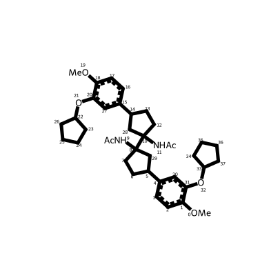 COc1ccc(C2CCC(NC(C)=O)(C3(NC(C)=O)CCC(c4ccc(OC)c(OC5CCCC5)c4)C3)C2)cc1OC1CCCC1